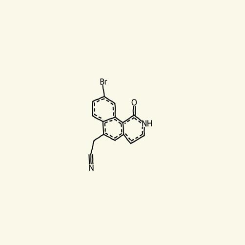 N#CCc1cc2cc[nH]c(=O)c2c2cc(Br)ccc12